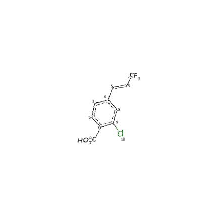 O=C(O)c1ccc(/C=C/C(F)(F)F)cc1Cl